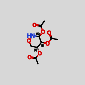 CC(=O)O[C@H]1[C@H](OC(C)=O)CON[C@H]1OC(C)=O